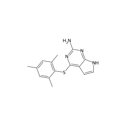 Cc1cc(C)c(Sc2nc(N)nc3[nH]ccc23)c(C)c1